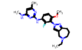 CCN1CCCc2nn(-c3c(OC)ccc(Nc4nc(C)cc(NC)n4)c3F)cc2C1